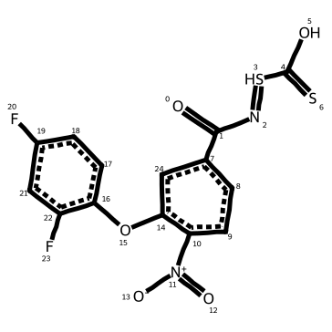 O=C(N=[SH]C(O)=S)c1ccc([N+](=O)[O-])c(Oc2ccc(F)cc2F)c1